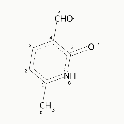 Cc1ccc([C]=O)c(=O)[nH]1